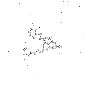 Cc1cc(=O)oc2cc(OCCN3CCOCC3)cc(OCCN3CCOCC3)c12